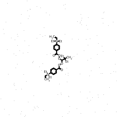 [CH2]C(CC)(CC)[C](OOC(=O)c1ccc([Si](C=C)(CC)CC)cc1)OOC(=O)c1ccc([Si](C=C)(CC)CC)cc1